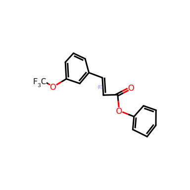 O=C(/C=C/c1cccc(OC(F)(F)F)c1)Oc1ccccc1